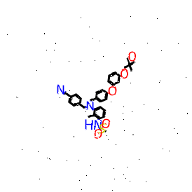 Cc1c(NS(C)(=O)=O)cccc1N(Cc1ccc(C#N)cc1)Cc1ccc(Oc2cccc(OCC3(C)COC3)c2)cc1